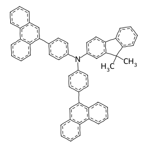 CC1(C)c2ccccc2-c2ccc(N(c3ccc(-c4cc5ccccc5c5ccccc45)cc3)c3ccc(-c4cc5ccccc5c5ccccc45)cc3)cc21